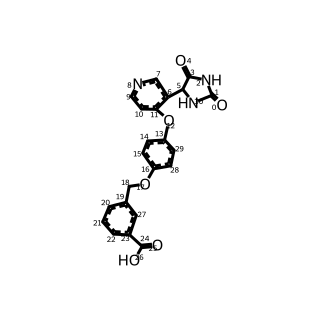 O=C1NC(=O)C(c2cnccc2Oc2ccc(OCc3cccc(C(=O)O)c3)cc2)N1